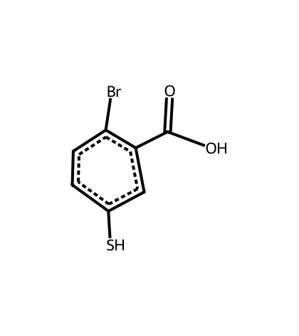 O=C(O)c1cc(S)ccc1Br